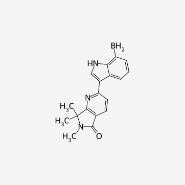 Bc1cccc2c(-c3ccc4c(n3)C(C)(C)N(C)C4=O)c[nH]c12